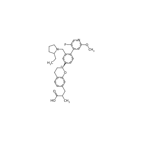 CCC1CCCN1Cc1cc([C@@H]2CCc3ccc(CC(C)C(=O)O)cc3O2)ccc1-c1cc(OC)ncc1F